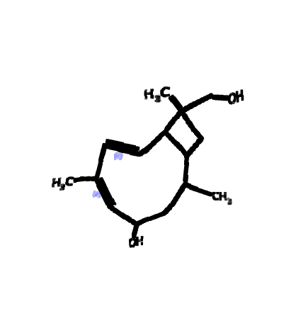 CC1=C/C(O)CC(C)C2CC(C)(CO)C2\C=C\1